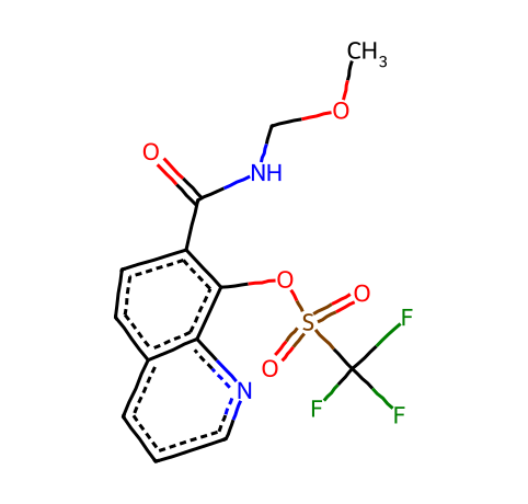 COCNC(=O)c1ccc2cccnc2c1OS(=O)(=O)C(F)(F)F